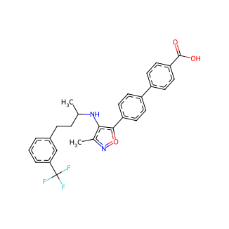 Cc1noc(-c2ccc(-c3ccc(C(=O)O)cc3)cc2)c1NC(C)CCc1cccc(C(F)(F)F)c1